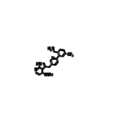 COc1ccnc2[nH]cc(Cc3ccc(-c4cc(C(F)(F)F)ccc4CN)nc3)c12